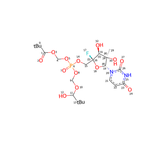 CC(C)(C)C(=O)OCOP(=O)(OCOC(O)C(C)(C)C)OC[C@@]1(F)O[C@@H](n2ccc(=O)[nH]c2=O)[C@](C)(O)[C@@H]1O